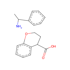 CC(N)c1ccccc1.O=C(O)C1CCOc2ccccc21